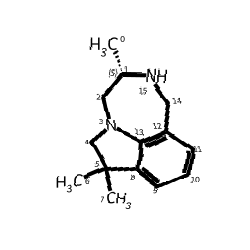 C[C@H]1CN2CC(C)(C)c3cccc(c32)CN1